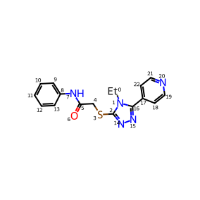 CCn1c(SCC(=O)Nc2ccccc2)nnc1-c1ccncc1